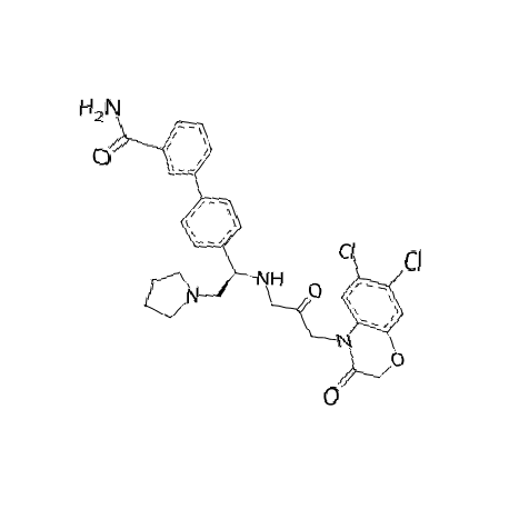 NC(=O)c1cccc(-c2ccc([C@H](CN3CCCC3)NCC(=O)CN3C(=O)COc4cc(Cl)c(Cl)cc43)cc2)c1